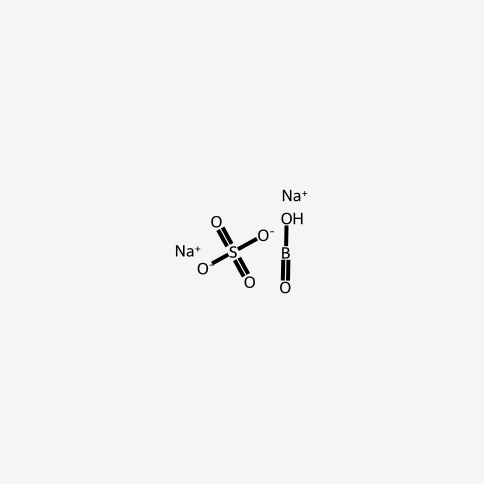 O=BO.O=S(=O)([O-])[O-].[Na+].[Na+]